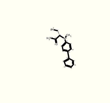 CC(C)C[C@@H](C(N)=O)N(C)c1ccc(-c2ccccc2)cc1